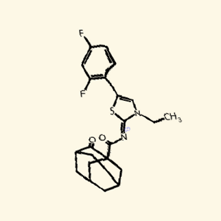 CCn1cc(-c2ccc(F)cc2F)s/c1=N\C(=O)C12CC3CC(CC(C3)C1=O)C2